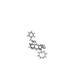 O=c1[nH]c2cc3c(NCc4ccccc4)ncnc3cc2n1C1CCCCCCC1